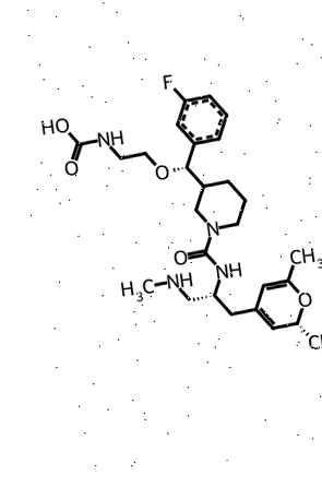 CNC[C@@H](CC1=C[C@@H](C)OC(C)=C1)NC(=O)N1CCCC([C@H](OCCNC(=O)O)c2cccc(F)c2)C1